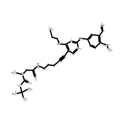 CCCNc1nc(Nc2ccc(NC)c(C=N)c2)ncc1C#CCCCNC(=O)CN(C)C(=O)OC(C)(C)C